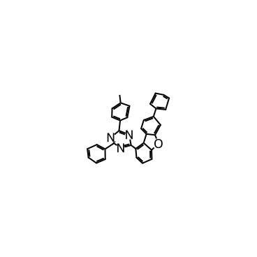 Cc1ccc(-c2nc(-c3ccccc3)nc(-c3cccc4oc5cc(-c6ccccc6)ccc5c34)n2)cc1